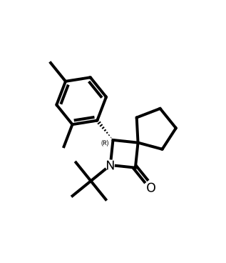 Cc1ccc([C@H]2N(C(C)(C)C)C(=O)C23CCCC3)c(C)c1